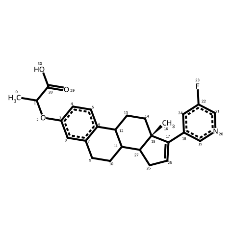 CC(Oc1ccc2c(c1)CCC1C2CC[C@]2(C)C(c3cncc(F)c3)=CCC12)C(=O)O